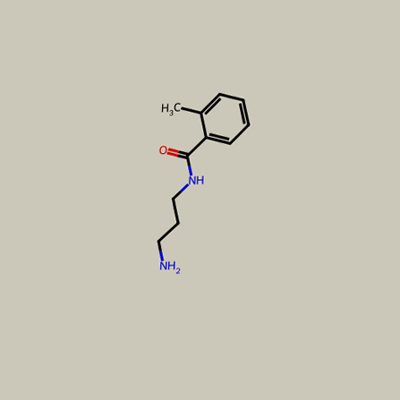 Cc1ccccc1C(=O)NCCCN